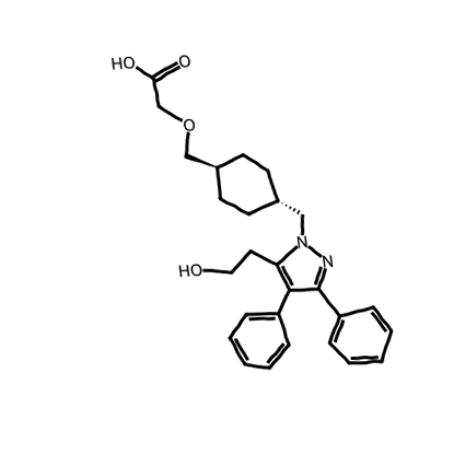 O=C(O)COC[C@H]1CC[C@H](Cn2nc(-c3ccccc3)c(-c3ccccc3)c2CCO)CC1